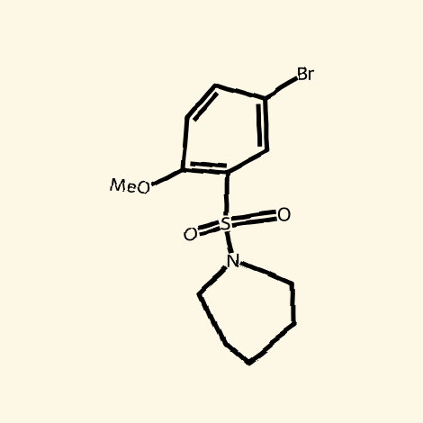 COc1ccc(Br)cc1S(=O)(=O)N1CCCCC1